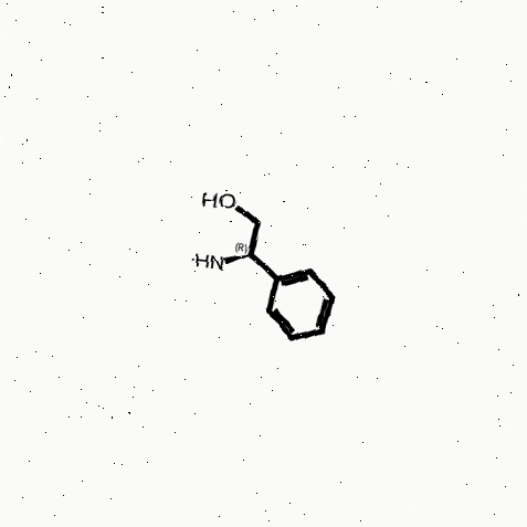 [NH][C@@H](CO)c1ccccc1